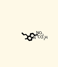 C=CCc1c(C)ccc2nc(C(C(=O)O)[N+](=O)[O-])ccc12